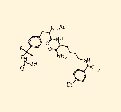 C=C(NCCCCC(NC(=O)C(Cc1ccc(C(F)(F)O[PH](=O)O)cc1)NC(C)=O)C(N)=O)c1ccc(CC)cc1